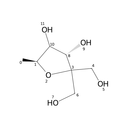 C[C@@H]1OC(CO)(CO)[C@@H](O)C1O